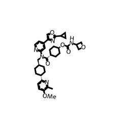 COc1ccc([C@H]2CC[C@H](CN(c3cc(-c4coc(C5CC5)n4)ccn3)C(=O)[C@H]3CC[C@H](OC(=O)NC4COC4)CC3)CC2)nc1C